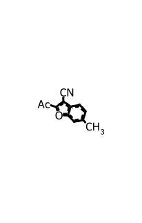 CC(=O)c1oc2cc(C)ccc2c1C#N